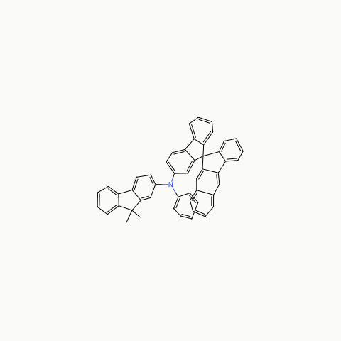 CC1(C)c2ccccc2-c2ccc(N(c3ccccc3)c3ccc4c(c3)C3(c5ccccc5-4)c4ccccc4-c4cc5ccccc5cc43)cc21